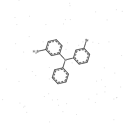 Bc1cccc(N(c2ccccc2)c2cccc(Br)c2)c1